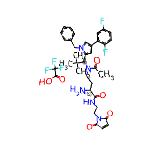 CC(=O)N(CC[C@H](N)C(=O)NCCN1C(=O)C=CC1=O)[C@@H](c1cc(-c2cc(F)ccc2F)cn1Cc1ccccc1)C(C)(C)C.O=C(O)C(F)(F)F